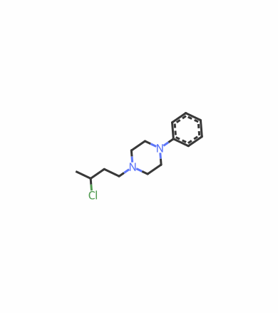 CC(Cl)CCN1CCN(c2ccccc2)CC1